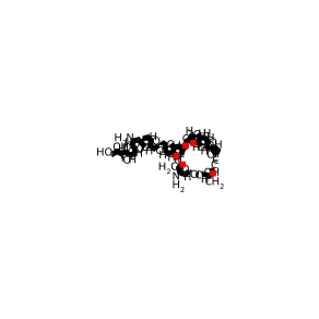 C=C1C[C@@H]2CC[C@@]34C[C@@H]5O[C@H]6[C@@H](O3)[C@H]3O[C@H](CC[C@@H]3O[C@H]6C5O4)CC(=O)O[C@@H]3CC4OC5C[C@]6(C[C@@H]7O[C@@]8(CC[C@@H]7O6)C[C@H](N)[C@@H]6O[C@@H]7[C@@H]([C@@H](O)CO)CO[C@@H]7C[C@@H]6O8)O[C@@H]5C[C@@H]4O[C@H]3C[C@H]3O[C@@H](CC[C@@H]1O2)C[C@@H](N)C3=C